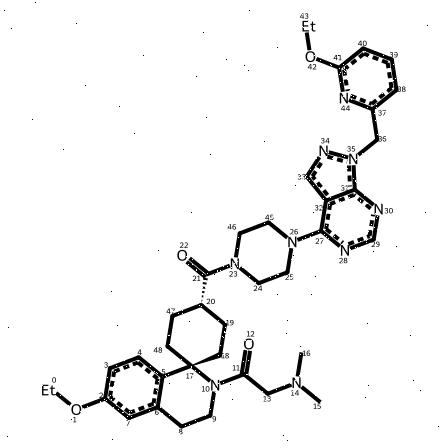 CCOc1ccc2c(c1)CCN(C(=O)CN(C)C)[C@]21CC[C@@H](C(=O)N2CCN(c3ncnc4c3cnn4Cc3cccc(OCC)n3)CC2)CC1